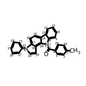 Cc1ccc(C(=O)n2c3ccccc3c3ccc4c(ccn4-c4ccccc4)c32)cc1